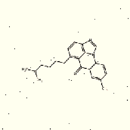 CC1=CC2C(=O)c3c(CCCCN(C)C)ccc4ncn(c34)C2C=C1